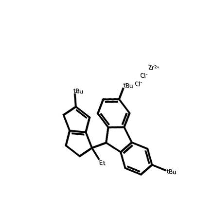 CCC1(C2c3ccc(C(C)(C)C)cc3-c3cc(C(C)(C)C)ccc32)CCC2=C1C=C(C(C)(C)C)C2.[Cl-].[Cl-].[Zr+2]